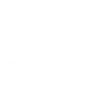 CCCCCCCCCCCCCCOC(=O)C(C)CC